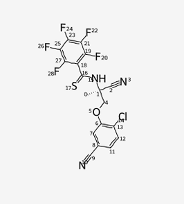 C[C@](C#N)(COc1cc(C#N)ccc1Cl)NC(=S)c1c(F)c(F)c(F)c(F)c1F